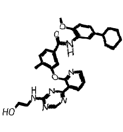 COc1ccc(C2CCCCC2)cc1NC(=O)c1ccc(C)c(Oc2ncccc2-c2ncnc(NCCO)n2)c1